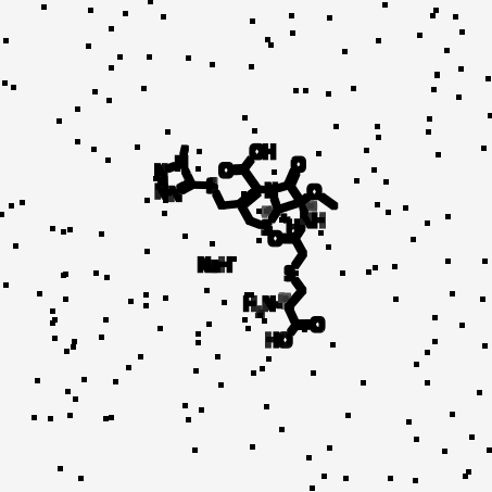 CO[C@@]1(NC(=O)CSC[C@@H](N)C(=O)O)C(=O)N2C(C(=O)O)=C(CSc3nnnn3C)CS[C@@H]21.[NaH]